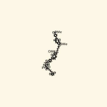 COC(=O)c1ccc(C2=CN3C(=O)c4cc(OC)c(OCCCCCOc5cc6c(cc5OC)C(=O)N5C=C(c7ccc(NC(=O)[C@H](C)NC(=O)[C@@H](NC(=O)CCCCCN8C(=O)C=CC8=O)C(C)C)cc7)C[C@H]5C=N6)cc4N=C[C@@H]3C2)cc1